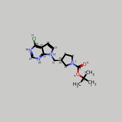 CC(C)(C)OC(=O)N1CC[C@H](Cn2ccc3c(Cl)ncnc32)C1